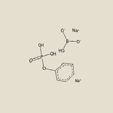 O=P(O)(O)Oc1ccccc1.[Na+].[Na+].[O-]B([O-])O